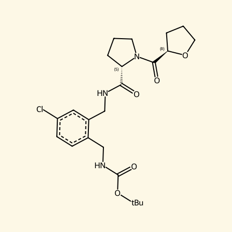 CC(C)(C)OC(=O)NCc1ccc(Cl)cc1CNC(=O)[C@@H]1CCCN1C(=O)[C@H]1CCCO1